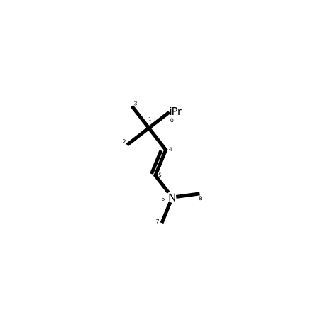 CC(C)C(C)(C)/C=C/N(C)C